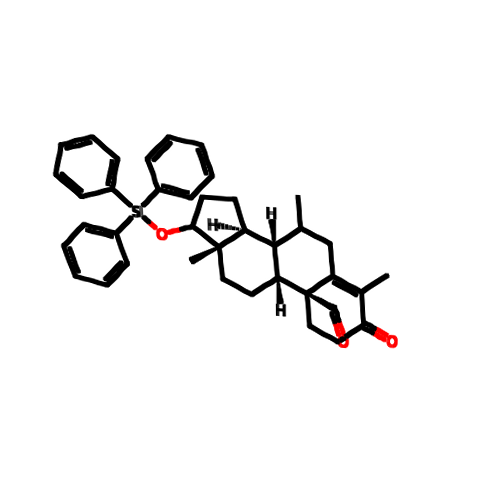 CC1=C2CC(C)[C@@H]3[C@@H](CC[C@]4(C)C(O[Si](c5ccccc5)(c5ccccc5)c5ccccc5)CC[C@@H]34)[C@@]2(C=O)CCC1=O